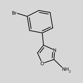 Nc1nc(-c2cccc(Br)c2)co1